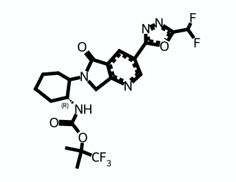 CC(C)(OC(=O)N[C@@H]1CCCCC1N1Cc2ncc(-c3nnc(C(F)F)o3)cc2C1=O)C(F)(F)F